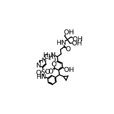 Cn1cnc(S(=O)(=O)Nc2cccc(C(c3c(O)cc(C(N)CCC(=O)NC(CO)(CO)CO)oc3=O)C3CC3)c2)c1